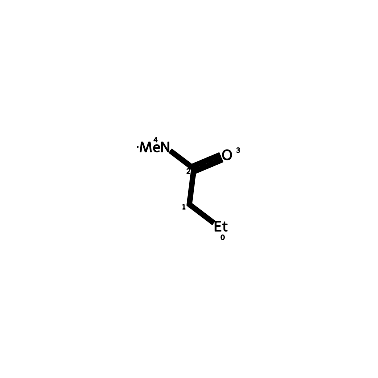 CCCC(=O)[N]C